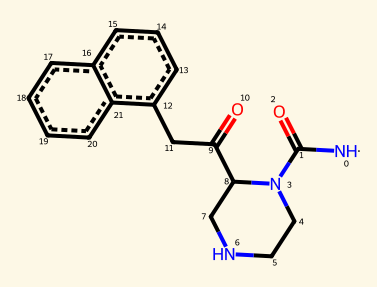 [NH]C(=O)N1CCNCC1C(=O)Cc1cccc2ccccc12